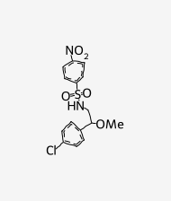 COC(CNS(=O)(=O)c1ccc([N+](=O)[O-])cc1)c1ccc(Cl)cc1